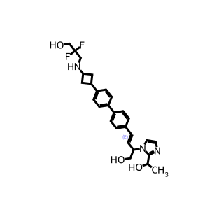 CC(O)c1nccn1C(/C=C/c1ccc(-c2ccc(C3CC(NCC(F)(F)CO)C3)cc2)cc1)CO